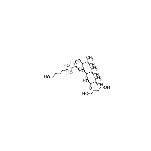 C=C(C)C(=O)O.C=C(C)C(=O)O.C=C(C)C(=O)O.C=C(C)C(=O)O.OCCCCO.OCCCCO